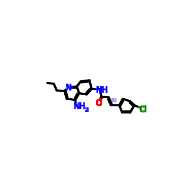 CCCc1cc(N)c2cc(NC(=O)/C=C/c3ccc(Cl)cc3)ccc2n1